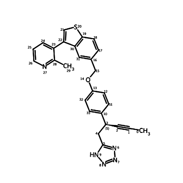 CC#C[C@@H](Cc1nnn[nH]1)c1ccc(OCc2ccc3scc(-c4cccnc4C)c3c2)cc1